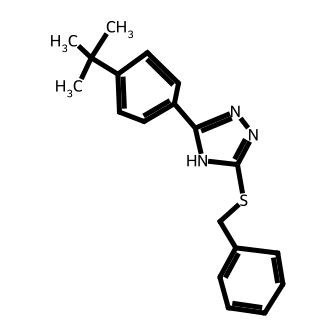 CC(C)(C)c1ccc(-c2nnc(SCc3ccccc3)[nH]2)cc1